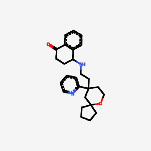 O=C1CCC(NCCC2(c3ccccn3)CCOC3(CCCC3)C2)c2ccccc21